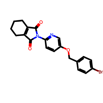 O=C1C2=C(CCCC2)C(=O)N1c1ccc(OCc2ccc(Br)cc2)cn1